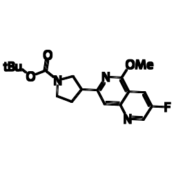 COc1nc(C2CCN(C(=O)OC(C)(C)C)C2)cc2ncc(F)cc12